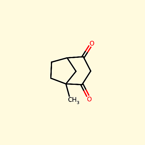 CC12CCC(C1)C(=O)CC2=O